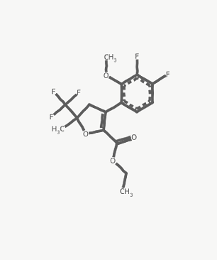 CCOC(=O)C1=C(c2ccc(F)c(F)c2OC)CC(C)(C(F)(F)F)O1